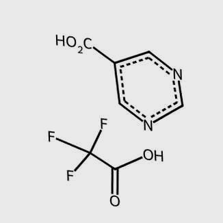 O=C(O)C(F)(F)F.O=C(O)c1cncnc1